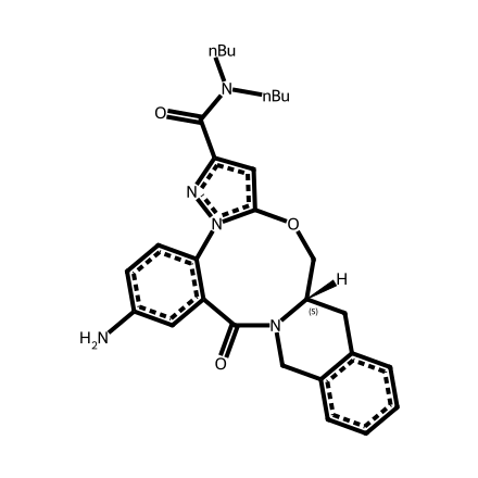 CCCCN(CCCC)C(=O)c1cc2n(n1)-c1ccc(N)cc1C(=O)N1Cc3ccccc3C[C@H]1CO2